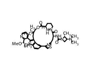 CCn1c(-c2cccnc2[C@H](C)OC)c2c3cc(ccc31)-c1csc(n1)C[C@H](NC(=O)N1C[C@H](N(C)C)[C@H]1C)C(=O)N1CCC[C@H](N1)C(=O)OCC(C)(C)C2